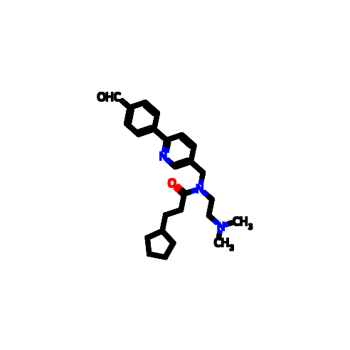 CN(C)CCN(Cc1ccc(-c2ccc(C=O)cc2)nc1)C(=O)CCC1CCCC1